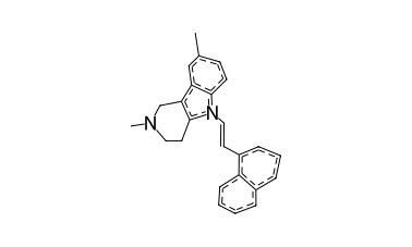 Cc1ccc2c(c1)c1c(n2/C=C/c2cccc3ccccc23)CCN(C)C1